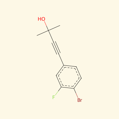 CC(C)(O)C#Cc1ccc(Br)c(F)c1